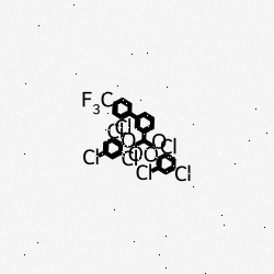 O=C(Oc1c(Cl)cc(Cl)cc1Cl)C(C(=O)Oc1c(Cl)cc(Cl)cc1Cl)c1cccc(-c2ccc(C(F)(F)F)cc2Cl)c1